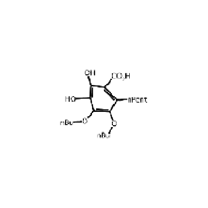 CCCCCc1c(OCCCC)c(OCCCC)c(O)c(O)c1C(=O)O